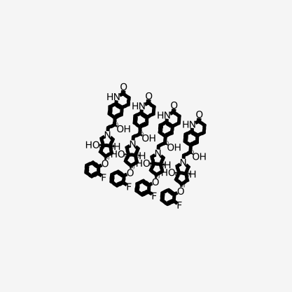 O=C1CCc2cc([C@@H](O)CN3C[C@@H]4C[C@@H](Oc5ccccc5F)C[C@]4(O)C3)ccc2N1.O=C1CCc2cc([C@@H](O)CN3C[C@H]4C[C@H](Oc5ccccc5F)C[C@@]4(O)C3)ccc2N1.O=C1CCc2cc([C@H](O)CN3C[C@@H]4C[C@@H](Oc5ccccc5F)C[C@]4(O)C3)ccc2N1.O=C1CCc2cc([C@H](O)CN3C[C@H]4C[C@H](Oc5ccccc5F)C[C@@]4(O)C3)ccc2N1